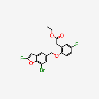 CCOC(=O)Cc1cc(F)ccc1OCc1cc(Br)c2oc(F)cc2c1